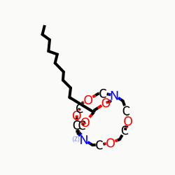 CCCCCCCCCCC1COCN2CCOCCOCC/N=C(/COCCOCC2)CO1